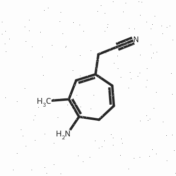 CC1=C(N)CC=CC(CC#N)=C1